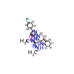 CCn1cc(C2(N3COC(C)=N3)c3[nH]c4ccccc4c3CCN2c2nc(-c3ccc(F)cc3)c[nH]2)cn1